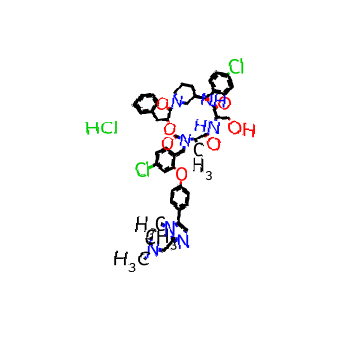 CC1C(=O)NC(CO)C(=O)NC2(Cc3ccc(Cl)cc3)CCCN(C2)C(=O)C(Cc2ccccc2)OC(=O)N1Cc1ccc(Cl)cc1Oc1ccc(-c2cnc(CN(C)C)n2C)cc1.Cl